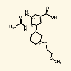 COCCO[C@H]1CCCN(C2C=C(C(=O)O)C[C@H](N)[C@H]2NC(C)=O)C1